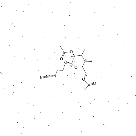 CC(=O)OCC1O[C@@H](OCCN=[N+]=[N-])[C@@H](OC(C)=O)C(C)[C@H]1C